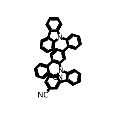 N#Cc1ccc2c(c1)c1ccccc1n2-c1cc(-c2ccccc2-n2c3ccccc3c3ccccc32)ccc1-c1ccccc1C#N